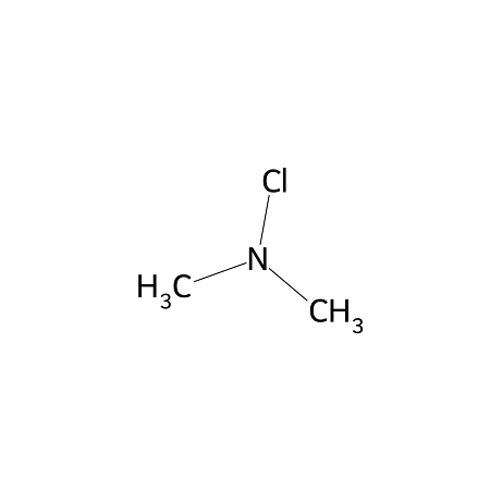 CN(C)Cl